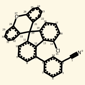 N#Cc1cccc(-c2cccc3c2-c2c(Cl)cccc2C32c3ccccc3Oc3ccccc32)c1